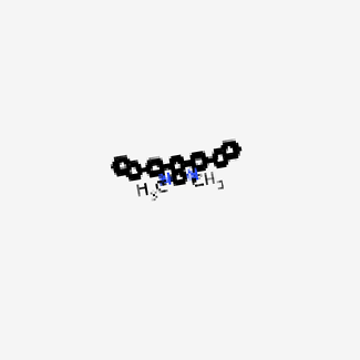 CN1c2cc(-c3ccc4ccccc4c3)ccc2-c2ccc3c4c(ccc1c24)N(C)c1cc(-c2ccc4ccccc4c2)ccc1-3